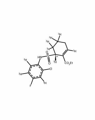 [2H]C1=C(C(=O)OCC)[C@]([2H])(S(=O)(=O)Nc2c([2H])c([2H])c(F)c([2H])c2Cl)C([2H])([2H])C([2H])([2H])C1